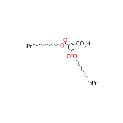 CC(C)CCCCCCCCCOC(=O)c1cc(C(=O)O)cc(C(=O)OCCCCCCCCCC(C)C)c1